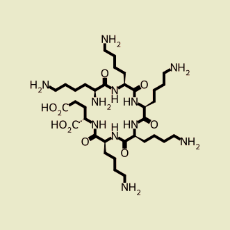 NCCCC[C@H](NC(=O)[C@H](CCCCN)NC(=O)[C@H](CCCCN)NC(=O)[C@H](CCCCN)NC(=O)[C@@H](N)CCCCN)C(=O)N[C@@H](CCC(=O)O)C(=O)O